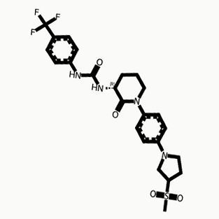 CS(=O)(=O)C1CCN(c2ccc(N3CCC[C@@H](NC(=O)Nc4ccc(C(F)(F)F)cc4)C3=O)cc2)C1